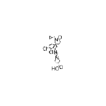 O=C(O)C1CCN(C2CN(CC[C@]3(c4ccc(Cl)c(Cl)c4)CCC(=O)N(CC4CC4)C3)C2)CC1